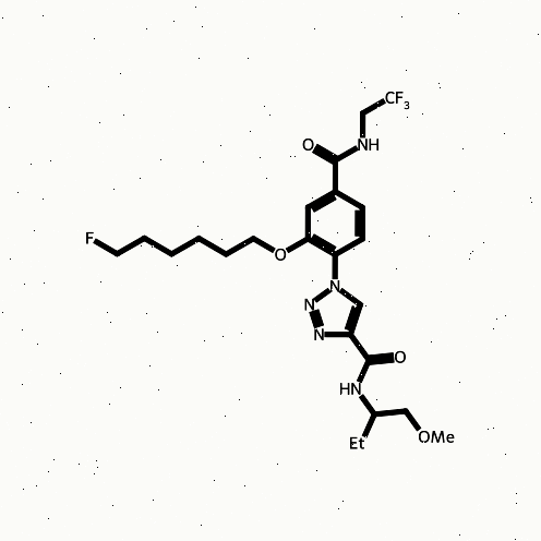 CCC(COC)NC(=O)c1cn(-c2ccc(C(=O)NCC(F)(F)F)cc2OCCCCCCF)nn1